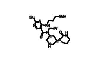 CSCCCNc1nc(C(C)(C)C)ncc1C(=O)N(CC(C)C)[C@@H]1CNC[C@H](N2CCCNC2=O)C1